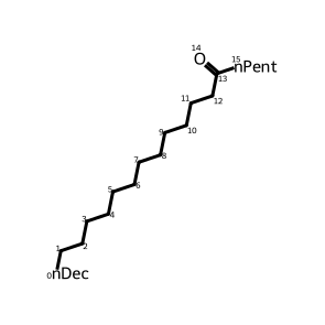 CCCCCCCCCCCCCCCCCCCCCCC(=O)CCCCC